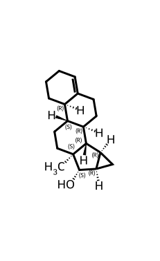 C[C@]12CC[C@H]3[C@@H](CCC4=CCCC[C@@H]43)[C@@H]1[C@H]1C[C@H]1[C@@H]2O